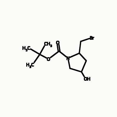 CC(C)(C)OC(=O)N1CC(O)CC1CBr